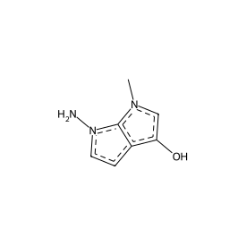 Cn1cc(O)c2ccn(N)c21